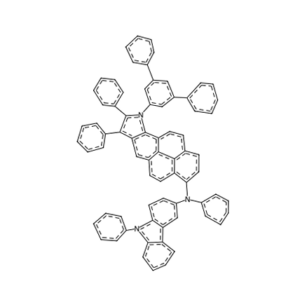 c1ccc(-c2cc(-c3ccccc3)cc(-n3c(-c4ccccc4)c(-c4ccccc4)c4cc5ccc6c(N(c7ccccc7)c7ccc8c(c7)c7ccccc7n8-c7ccccc7)ccc7ccc(c5c76)c43)c2)cc1